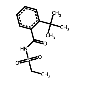 CCS(=O)(=O)NC(=O)c1ccccc1C(C)(C)C